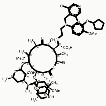 CC[C@H]1OC(=O)[C@H](C)[C@@H](O[C@H]2C[C@@](C)(OC)[C@@H](O)[C@H](C)O2)[C@H](C)[C@@H](O[C@@H]2O[C@H](C)C[C@H](N(C)C(=O)N3CCOCC3)[C@H]2O)[C@](C)(OC)C[C@@H](C)C(=O)[C@H](C)[C@@H]([C@H](SCCN(Cc2c(Cl)cncc2Cl)c2ccc(OC)c(OC3CCCC3)c2)C(=O)O)[C@H]1C